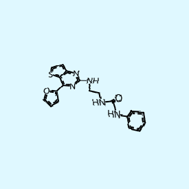 O=C(NCCNc1nc(-c2ccco2)c2sccc2n1)Nc1ccccc1